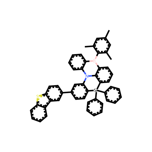 Cc1cc(C)c(B2c3ccccc3N3c4cc(-c5ccc6sc7ccccc7c6c5)ccc4[Si](c4ccccc4)(c4ccccc4)c4cccc2c43)c(C)c1